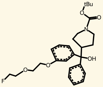 CC(C)(C)OC(=O)N1CCC(C(O)(c2ccccc2)c2cccc(OCCOCCF)c2)CC1